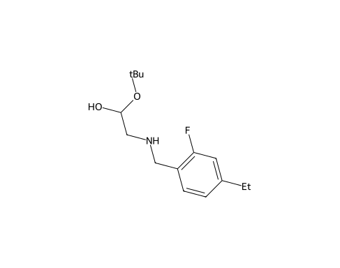 CCc1ccc(CNCC(O)OC(C)(C)C)c(F)c1